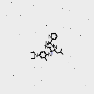 CCN(CC)c1ccc(/N=C2/C(CC(C)C)=Nn3c2nnc3-c2ccccn2)c(C)c1